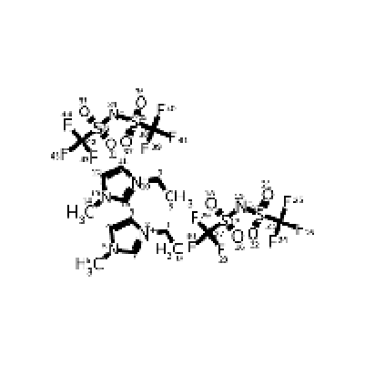 CC[n+]1ccn(C)c1.CC[n+]1ccn(C)c1.O=S(=O)([N-]S(=O)(=O)C(F)(F)F)C(F)(F)F.O=S(=O)([N-]S(=O)(=O)C(F)(F)F)C(F)(F)F